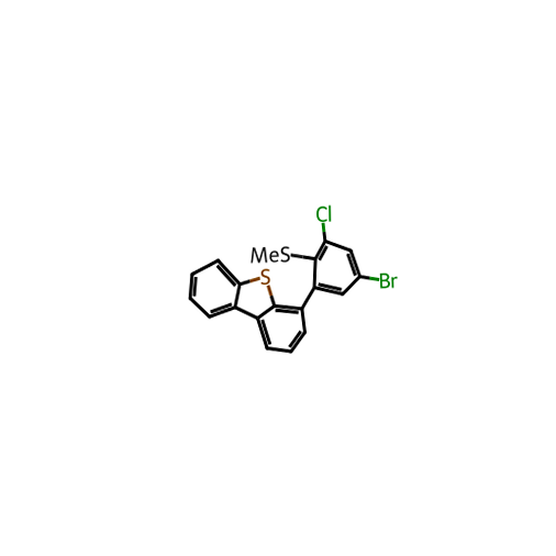 CSc1c(Cl)cc(Br)cc1-c1cccc2c1sc1ccccc12